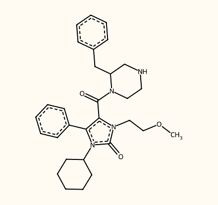 COCCn1c(C(=O)N2CCNCC2Cc2ccccc2)c(-c2ccccc2)n(C2CCCCC2)c1=O